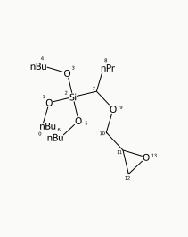 CCCCO[Si](OCCCC)(OCCCC)C(CCC)OCC1CO1